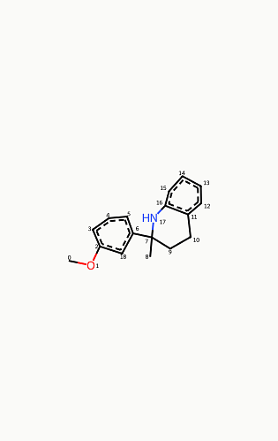 COc1cccc(C2(C)CCc3ccccc3N2)c1